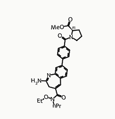 CCCN(OCC)C(=O)C1=Cc2ccc(-c3ccc(C(=O)N4CCC[C@@H]4C(=O)OC)cc3)cc2N=C(N)C1